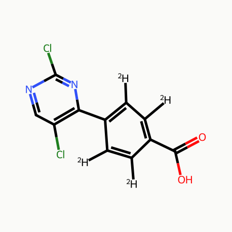 [2H]c1c([2H])c(-c2nc(Cl)ncc2Cl)c([2H])c([2H])c1C(=O)O